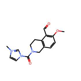 COc1ccc2c(c1C=O)CCN(C(=O)n1cc[n+](C)c1)C2